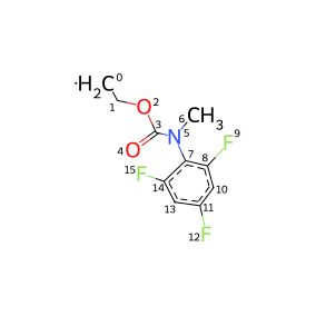 [CH2]COC(=O)N(C)c1c(F)cc(F)cc1F